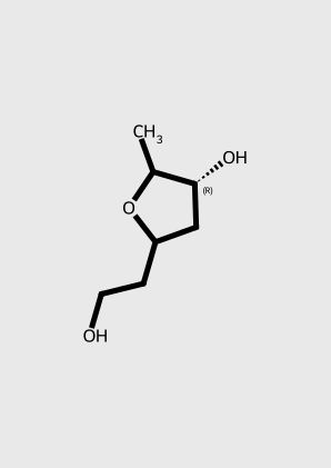 CC1OC(CCO)C[C@H]1O